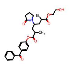 CCC(CC(CC(C)C(=O)Oc1ccc(C(=O)c2ccccc2)cc1)N1CCCC1=O)C(=O)OCCO